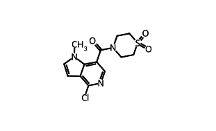 Cn1ccc2c(Cl)ncc(C(=O)N3CCS(=O)(=O)CC3)c21